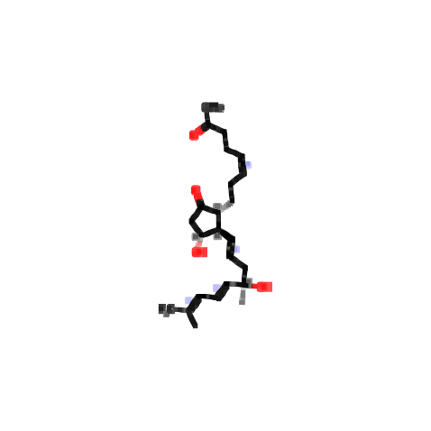 COC(=O)CC/C=C\CC[C@H]1C(=O)C[C@@H](O)[C@@H]1/C=C/C[C@@](C)(O)/C=C/C=C(\C)C(F)(F)F